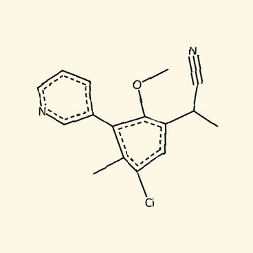 COc1c(C(C)C#N)cc(Cl)c(C)c1-c1cccnc1